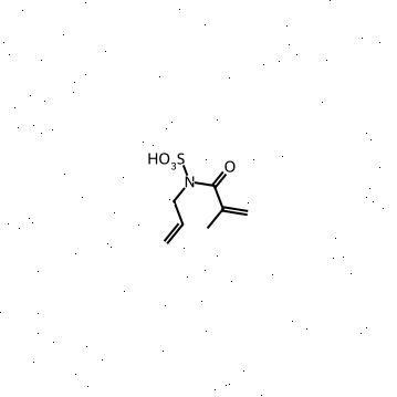 C=CCN(C(=O)C(=C)C)S(=O)(=O)O